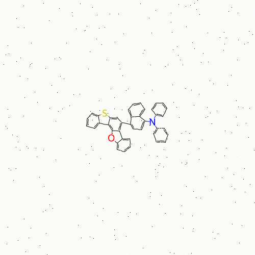 c1ccc(N(c2ccccc2)c2ccc(-c3cc4sc5ccccc5c4c4oc5ccccc5c34)c3ccccc23)cc1